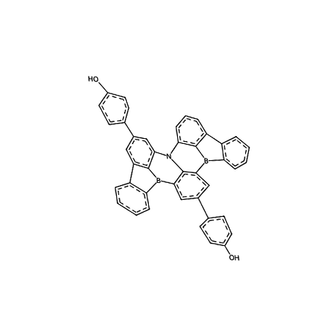 Oc1ccc(-c2cc3c4c(c2)B2c5ccccc5-c5cc(-c6ccc(O)cc6)cc(c52)N4c2cccc4c2B3c2ccccc2-4)cc1